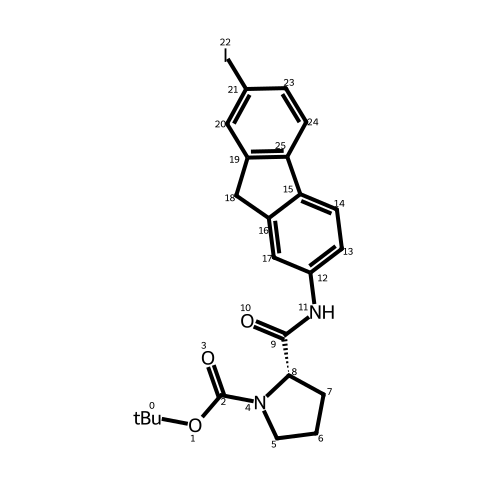 CC(C)(C)OC(=O)N1CCC[C@H]1C(=O)Nc1ccc2c(c1)Cc1cc(I)ccc1-2